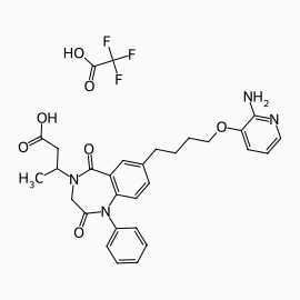 CC(CC(=O)O)N1CC(=O)N(c2ccccc2)c2ccc(CCCCOc3cccnc3N)cc2C1=O.O=C(O)C(F)(F)F